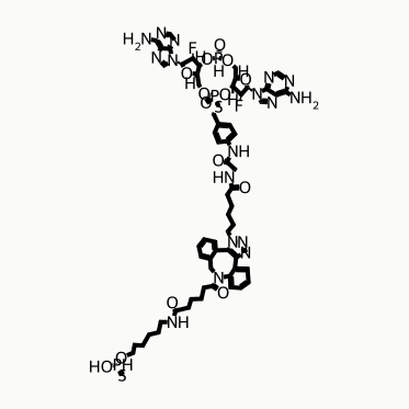 Nc1ncnc2c1ncn2[C@@H]1O[C@@H]2COP(=O)(SCc3ccc(NC(=O)CNC(=O)CCCCCn4nnc5c4-c4ccccc4CN(C(=O)CCCCC(=O)NCCCCCCO[PH](O)=S)c4ccccc4-5)cc3)O[C@H]3[C@@H](F)[C@H](n4cnc5c(N)ncnc54)O[C@@H]3CO[PH](=O)O[C@H]2[C@H]1F